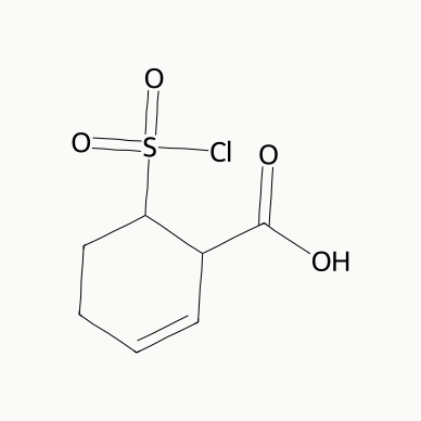 O=C(O)C1C=CCCC1S(=O)(=O)Cl